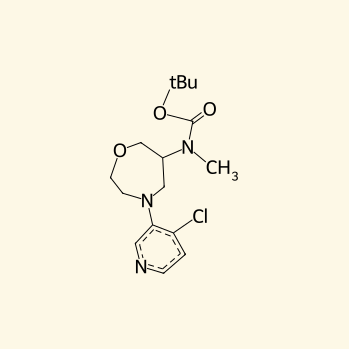 CN(C(=O)OC(C)(C)C)C1COCCN(c2cnccc2Cl)C1